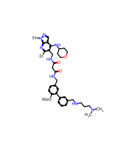 CCc1nc2c(cnn2CC)c(NC2CCOCC2)c1CNC(=O)CC(=O)NCc1ccc(OC)c(-c2cccc(CNCCCN(C)C)c2)c1